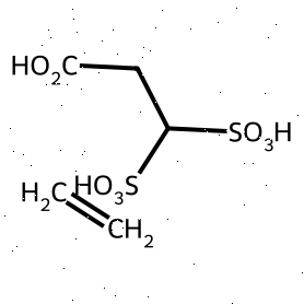 C=C.O=C(O)CC(S(=O)(=O)O)S(=O)(=O)O